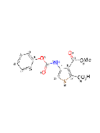 COC(=O)c1c(NC(=O)Oc2ccccc2)csc1C(=O)O